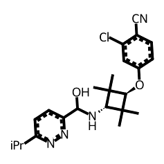 CC(C)c1ccc(C(O)N[C@H]2C(C)(C)[C@H](Oc3ccc(C#N)c(Cl)c3)C2(C)C)nn1